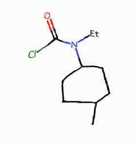 CCN(C(=O)Cl)C1CCC(C)CC1